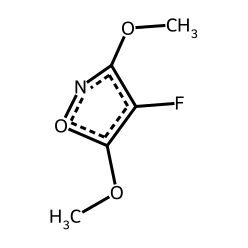 COc1noc(OC)c1F